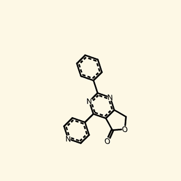 O=C1OCc2nc(-c3ccccc3)nc(-c3ccncc3)c21